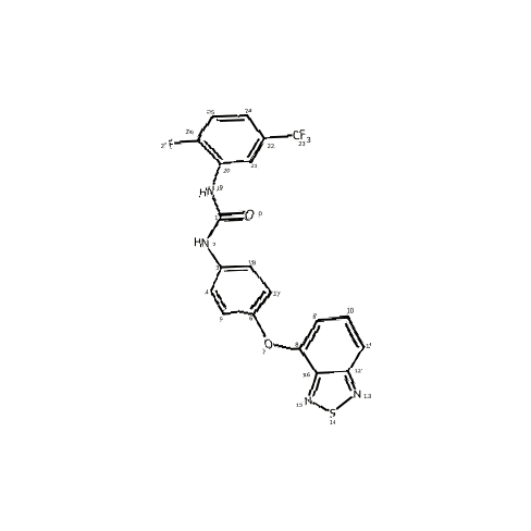 O=C(Nc1ccc(Oc2cccc3nsnc23)cc1)Nc1cc(C(F)(F)F)ccc1F